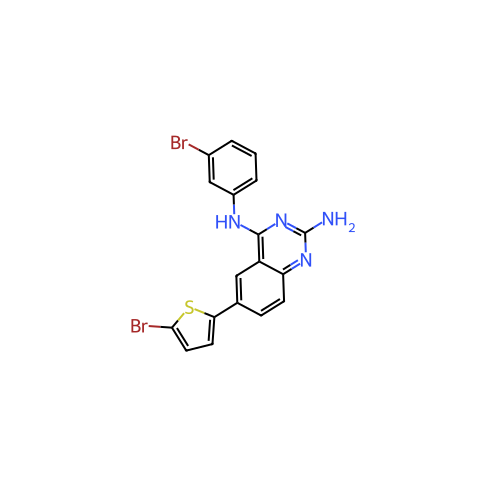 Nc1nc(Nc2cccc(Br)c2)c2cc(-c3ccc(Br)s3)ccc2n1